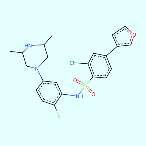 CC1CN(c2ccc(F)c(NS(=O)(=O)c3ccc(-c4ccoc4)cc3Cl)c2)CC(C)N1